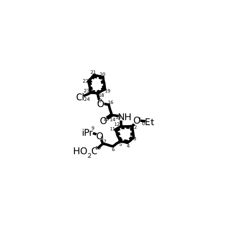 CCOc1ccc(CC(OC(C)C)C(=O)O)cc1NC(=O)COc1ccccc1Cl